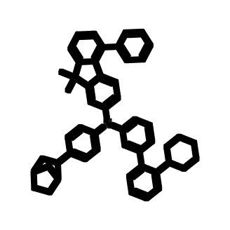 CC1(C)c2cc(N(c3ccc(C4CC5CCC4C5)cc3)c3cccc(-c4ccccc4C4CCCCC4)c3)ccc2-c2c(-c3ccccc3)cccc21